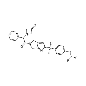 O=C1CN(C(C(=O)N2Cc3cn(S(=O)(=O)c4ccc(OC(F)F)cc4)nc3C2)c2ccccc2)C1